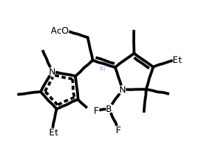 CCC1=C(C)/C(=C(\COC(C)=O)c2c(C)c(CC)c(C)n2C)N(B(F)F)C1(C)C